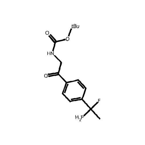 CC(C)(C)OC(=O)NCC(=O)c1ccc(C(C)(F)P)cc1